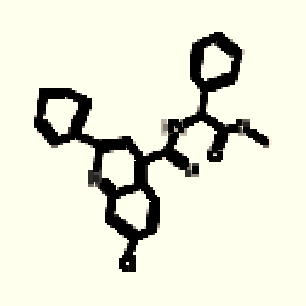 COC(=O)C(NC(=O)c1cc(-c2ccccc2)nc2cc(Cl)ccc12)c1ccccc1